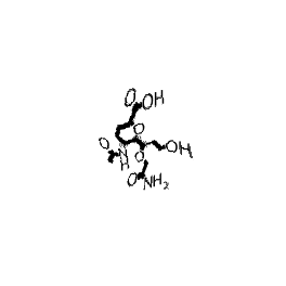 CC(=O)N[C@@H]1CC=C(C(=O)O)O[C@H]1[C@@H](CCO)OCC(N)=O